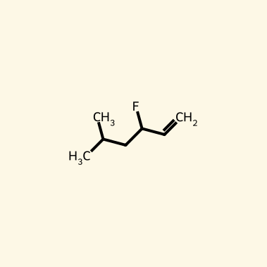 C=CC(F)CC(C)C